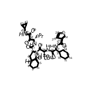 CCC[C@H](NC(=O)[C@@H]1C[C@@H]2CCCC[C@@H]2N1C(=O)[C@@H](NC(=O)C(NC(=O)c1ccoc1)C1CCCCC1)C(C)(C)C)C(=O)C(=O)NC1CC1